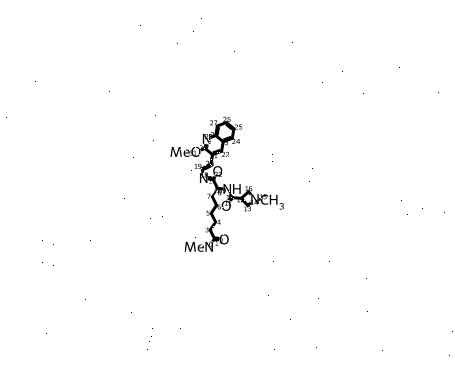 CNC(=O)CCCCC[C@H](NC(=O)C1CN(C)C1)c1ncc(-c2cc3ccccc3nc2OC)o1